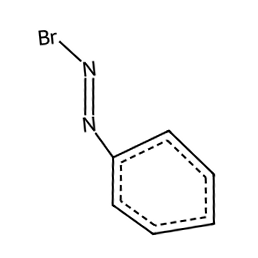 BrN=Nc1ccccc1